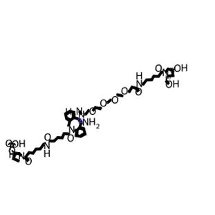 N/C1=C(\N(N)CCOCCOCCOCCOCCC(=O)NCCCCCC(=O)N2C[C@H](O)C[C@H]2CO)c2ccccc2CN(C(=O)CCCCC(=O)NCCCCCC(=O)N2CC[C@@H](O[PH](=O)O)C2)c2ccccc21